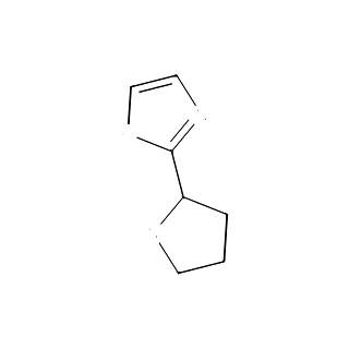 c1coc(C2CCC[N]2)n1